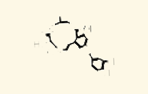 CC1CCC(=O)[C@@H](O)[C@@H](O)C/C=C/c2cc(OCc3ccc(Cl)c(Cl)c3)cc(O)c2C(=O)O[C@H]1C